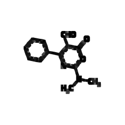 CN(C)c1nc(-c2ccccc2)c(C=O)c(=O)o1